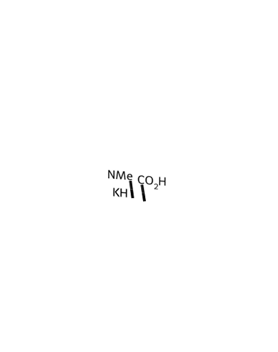 CC(=O)O.CNC.[KH]